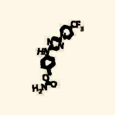 NC(=O)OCc1ccc(Nc2cnc(N3CCC(C(F)(F)F)CC3)cn2)cc1